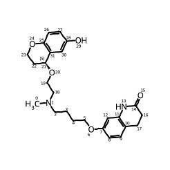 CN(CCCCOc1ccc2c(c1)NC(=O)CC2)CCO[C@H]1CCOc2ccc(O)cc21